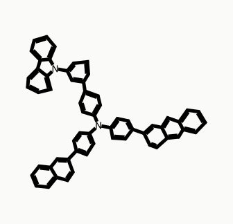 c1cc(-c2ccc(N(c3ccc(-c4ccc5ccccc5c4)cc3)c3ccc(-c4ccc5cc6ccccc6cc5c4)cc3)cc2)cc(-n2c3ccccc3c3ccccc32)c1